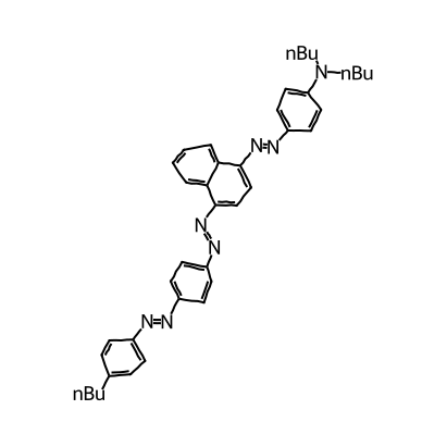 CCCCc1ccc(N=Nc2ccc(N=Nc3ccc(N=Nc4ccc(N(CCCC)CCCC)cc4)c4ccccc34)cc2)cc1